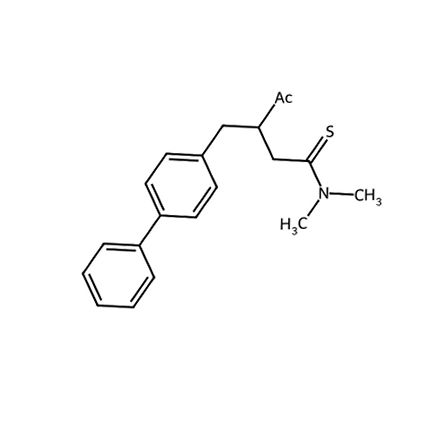 CC(=O)C(CC(=S)N(C)C)Cc1ccc(-c2ccccc2)cc1